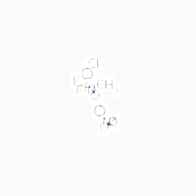 C/C(=N\OCc1ccc([N+](=O)[O-])cc1)c1cc(Cl)ccc1C(F)(F)F